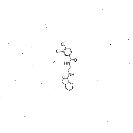 O=C(NCCNC1=NCc2ccccc21)c1ccc(Cl)c(Cl)c1